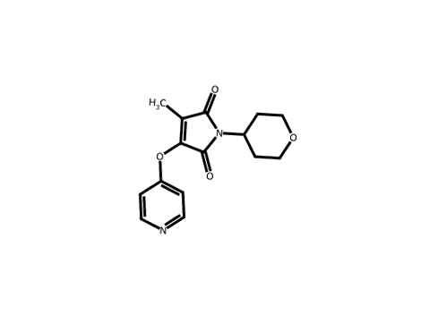 CC1=C(Oc2ccncc2)C(=O)N(C2CCOCC2)C1=O